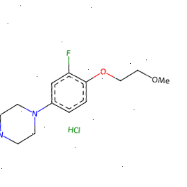 COCCOc1ccc(N2CCNCC2)cc1F.Cl